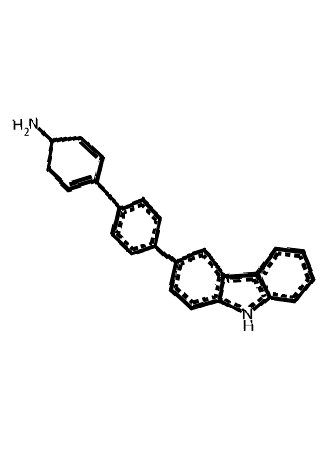 NC1C=CC(c2ccc(-c3ccc4[nH]c5ccccc5c4c3)cc2)=CC1